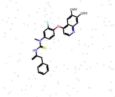 C=C(Cc1ccccc1)NC(=S)N(C)c1ccc(Oc2ccnc3cc(OC)c(OC)cc23)c(F)c1